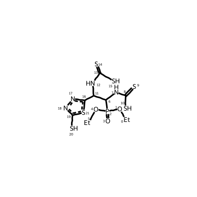 CCOP(=O)(OCC)C(NC(=S)S)C(NC(=S)S)c1nnc(S)s1